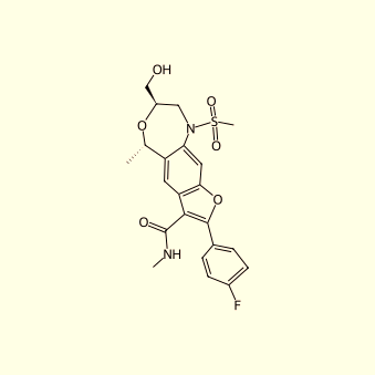 CNC(=O)c1c(-c2ccc(F)cc2)oc2cc3c(cc12)[C@H](C)O[C@@H](CO)CN3S(C)(=O)=O